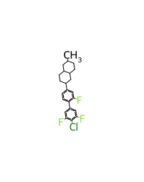 CC1CCC2CC(c3ccc(-c4cc(F)c(Cl)c(F)c4)c(F)c3)CCC2C1